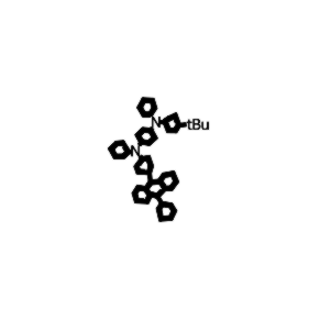 CC(C)(C)c1ccc(N(c2ccccc2)c2ccc(N(c3ccccc3)c3ccc(-c4c5ccccc5c(-c5ccccc5)c5ccccc45)cc3)cc2)cc1